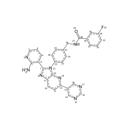 Nc1ncccc1-c1nc2ccc(-c3cncnc3)nc2n1-c1ccc(CNC(=O)c2cccc(F)c2)cc1